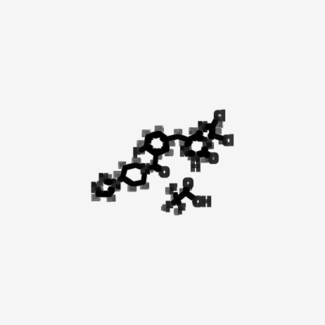 O=C(O)C(F)(F)F.O=C(c1cc(Cc2n[nH]c(=O)n3c(Cl)c(Cl)nc23)ccc1F)N1CCC(n2ccnn2)CC1